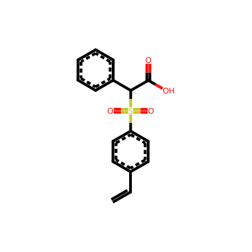 C=Cc1ccc(S(=O)(=O)C(C(=O)O)c2ccccc2)cc1